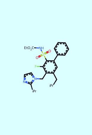 CCOC(=O)NS(=O)(=O)c1c(-c2ccccc2)cc(CC(C)C)c(Cn2ccnc2C(C)C)c1F